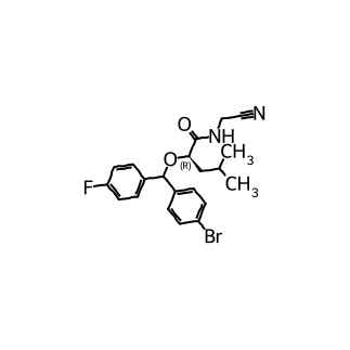 CC(C)C[C@@H](OC(c1ccc(F)cc1)c1ccc(Br)cc1)C(=O)NCC#N